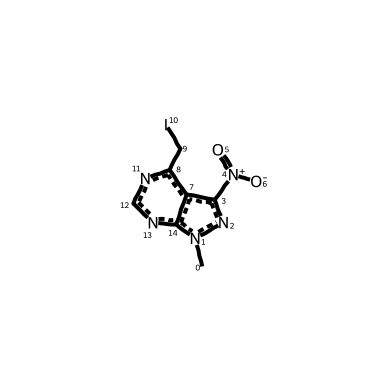 Cn1nc([N+](=O)[O-])c2c(CI)ncnc21